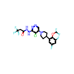 O=C(CC(F)(F)F)NNc1nncc(N2CCC(c3cc(F)cc(F)c3OC(F)F)CC2)c1Cl